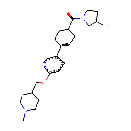 CN1CCC(COc2ccc(C3=CCC(C(=O)N4CCC(P)C4)CC3)cn2)CC1